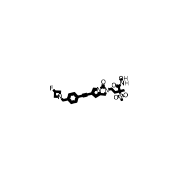 CC(CCN1Cc2cc(C#Cc3ccc(CN4CC(F)C4)cc3)cn2C1=O)(C(=O)NO)S(C)(=O)=O